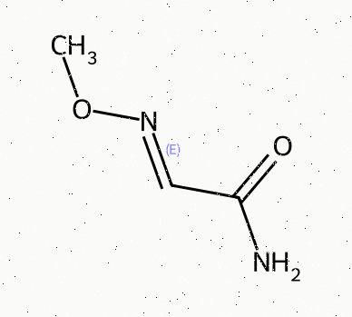 CO/N=C/C(N)=O